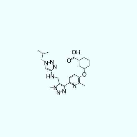 Cc1nc(-c2nnn(C)c2CNc2cn(CC(C)C)nn2)ccc1OC1CCCC(C(=O)O)C1